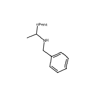 CCCCCC(C)NCc1ccccc1